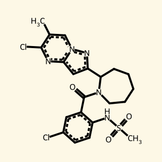 Cc1cn2nc(C3CCCCCN3C(=O)c3cc(Cl)ccc3NS(C)(=O)=O)cc2nc1Cl